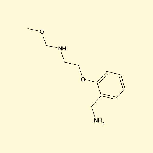 COCNCCOc1ccccc1CN